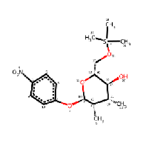 C[C@@H]1[C@@H](Oc2ccc([N+](=O)[O-])cc2)O[C@H](CO[Si](C)(C)C)[C@@H](O)[C@@H]1C